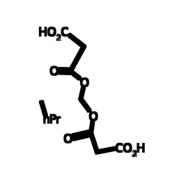 CCCC.O=C(O)CC(=O)OCOC(=O)CC(=O)O